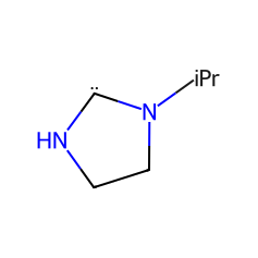 CC(C)N1[C]NCC1